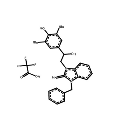 CC(C)(C)c1cc(C(O)Cn2c(=N)n(Cc3ccccc3)c3ccccc32)cc(C(C)(C)C)c1O.O=C(O)C(F)(F)F